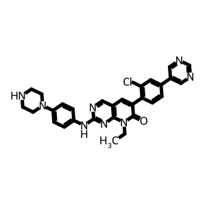 CCn1c(=O)c(-c2ccc(-c3cncnc3)cc2Cl)cc2cnc(Nc3ccc(N4CCNCC4)cc3)nc21